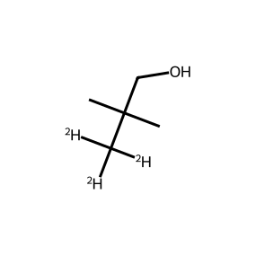 [2H]C([2H])([2H])C(C)(C)CO